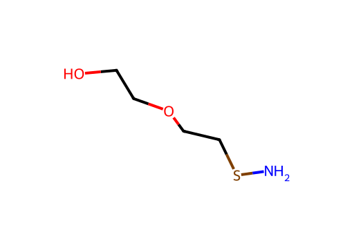 NSCCOCCO